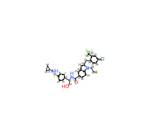 O=C(NC(CO)c1ccc(SNC2CC2)cc1)c1ccc2c(c1)cc(Cc1ccc(Cl)cc1C(F)(F)F)n2CCF